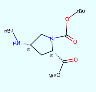 CCCCN[C@H]1C[C@@H](C(=O)OC)N(C(=O)OC(C)(C)C)C1